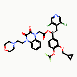 O=C(Cn1c(=O)c(=O)n(CCN2CCOCC2)c2ccccc21)O[C@@H](Cc1c(Cl)cncc1Cl)c1ccc(OC(F)F)c(OCC2CC2)c1